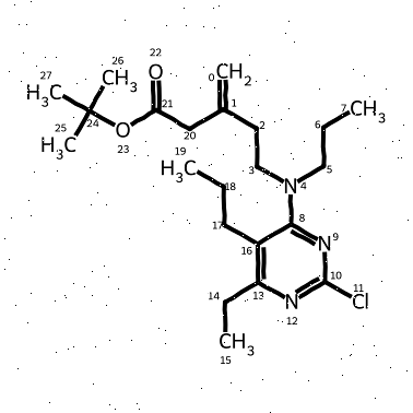 C=C(CCN(CCC)c1nc(Cl)nc(CC)c1CCC)CC(=O)OC(C)(C)C